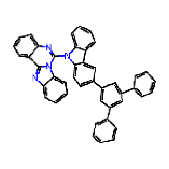 c1ccc(-c2cc(-c3ccccc3)cc(-c3ccc4c(c3)c3ccccc3n4-c3nc4ccccc4c4nc5ccccc5n34)c2)cc1